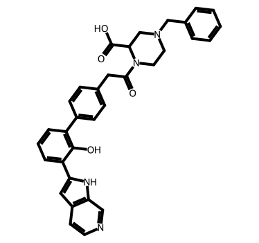 O=C(O)C1CN(Cc2ccccc2)CCN1C(=O)Cc1ccc(-c2cccc(-c3cc4ccncc4[nH]3)c2O)cc1